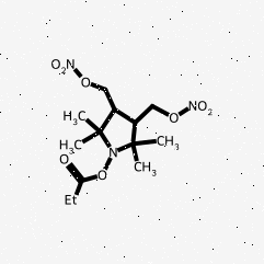 CCC(=O)ON1C(C)(C)C(CO[N+](=O)[O-])C(CO[N+](=O)[O-])C1(C)C